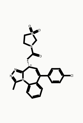 Cc1nnc2n1-c1ccccc1C(c1ccc(Cl)cc1)=C[C@H]2CC(=O)N1CCS(=O)(=O)C1